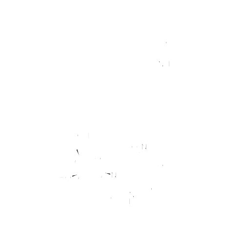 CC(OCc1cn([C@H]2C[C@@H](O)[C@@H](CO)O2)c(=O)[nH]c1=O)c1ccc(C#CCNC(=O)C(F)(F)F)cc1[N+](=O)[O-]